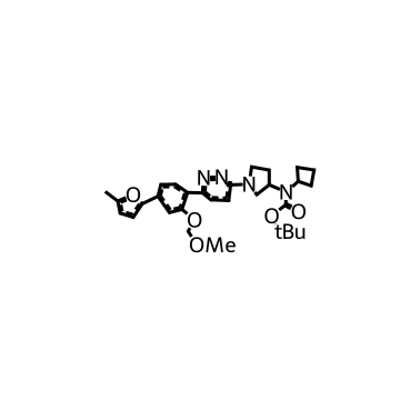 COCOc1cc(-c2ccc(C)o2)ccc1-c1ccc(N2CCC(N(C(=O)OC(C)(C)C)C3CCC3)C2)nn1